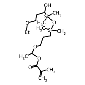 C=C(C)C(=O)OC(C)OCCC[Si](C)(C)O[Si](C)(C)C(O)CCOCC